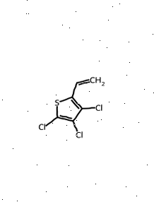 C=Cc1sc(Cl)c(Cl)c1Cl